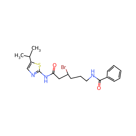 CC(C)c1cnc(NC(=O)CC(Br)CCCNC(=O)c2ccccc2)s1